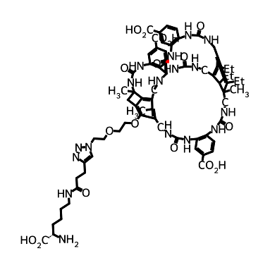 CCC1=C2CNC(=O)NC34NCc5c(C)c(c(OCCOCCn6cc(CCC(=O)NCCCC[C@H](N)C(=O)O)nn6)c6c5C(C)(C6)NC(=O)Nc5cc(C(=O)O)ccc53)CNC(=O)Nc3cc(C(=O)O)ccc3NC(=O)NCC(C)(C(CC)=C1CNC(=O)Nc1ccc(C(=O)O)cc1NC4=O)C2CC